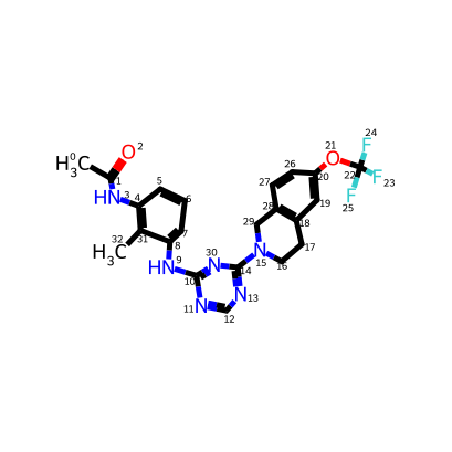 CC(=O)Nc1cccc(Nc2ncnc(N3CCc4cc(OC(F)(F)F)ccc4C3)n2)c1C